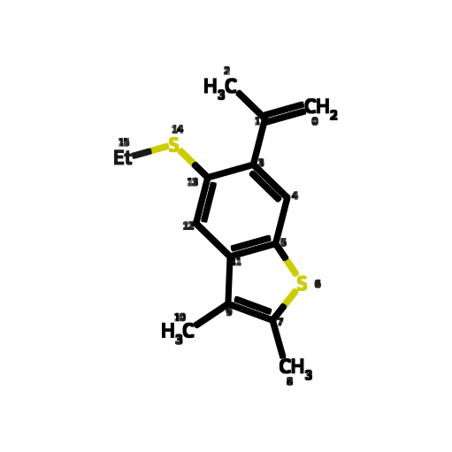 C=C(C)c1cc2sc(C)c(C)c2cc1SCC